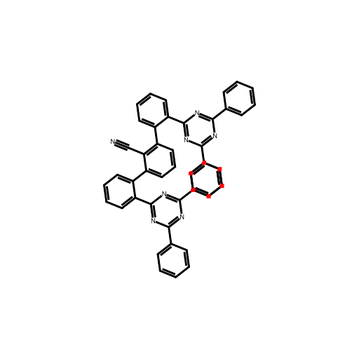 N#Cc1c(-c2ccccc2-c2nc(-c3ccccc3)nc(-c3ccccc3)n2)cccc1-c1ccccc1-c1nc(-c2ccccc2)nc(-c2ccccc2)n1